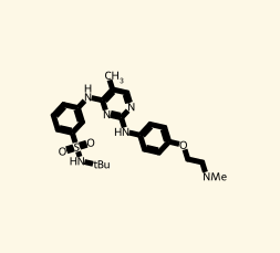 CNCCOc1ccc(Nc2ncc(C)c(Nc3cccc(S(=O)(=O)NC(C)(C)C)c3)n2)cc1